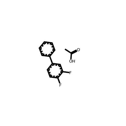 CC(=O)O.Fc1ccc(-c2ccccc2)cc1F